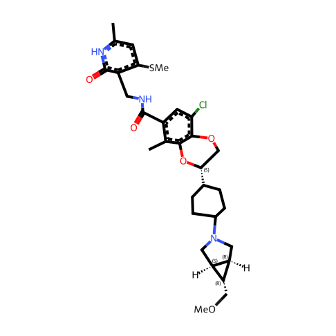 COC[C@@H]1[C@H]2CN(C3CCC([C@H]4COc5c(Cl)cc(C(=O)NCc6c(SC)cc(C)[nH]c6=O)c(C)c5O4)CC3)C[C@@H]12